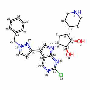 O[C@@H]1[C@H](O)[C@@H](C2CCNCC2)C[C@H]1n1cc(-c2ccn(Cc3ccccc3)n2)c2cnc(Cl)nc21